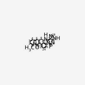 Cc1cccc2cc(CCNc3nc(F)nc4[nH]cnc34)c(-c3ccccc3)c(=O)n12